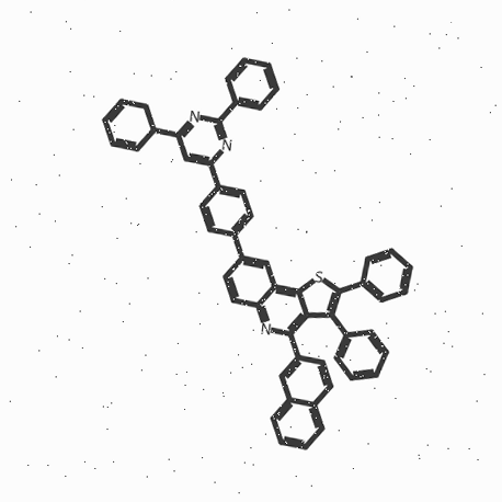 C1=CCC(c2cc(-c3ccc(-c4ccc5nc(-c6ccc7ccccc7c6)c6c(-c7ccccc7)c(-c7ccccc7)sc6c5c4)cc3)nc(-c3ccccc3)n2)C=C1